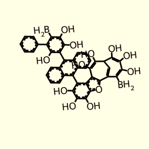 BC1=C(O)C(O)=C(O)C2C=C1c1oc3c(O)c(O)c(O)c(-c4c5ccccc5c(-c5c(O)c(O)c(B)c(-c6ccccc6)c5O)c5ccccc45)c3c1C(O)=C2O